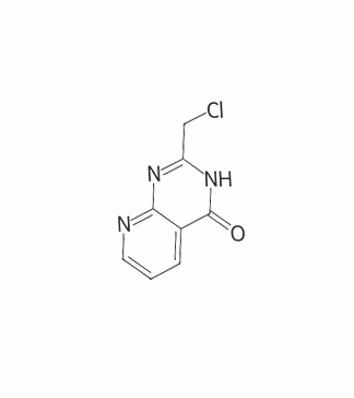 O=c1[nH]c(CCl)nc2ncccc12